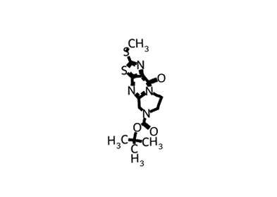 CSc1nc2c(=O)n3c(nc2s1)CN(C(=O)OC(C)(C)C)CC3